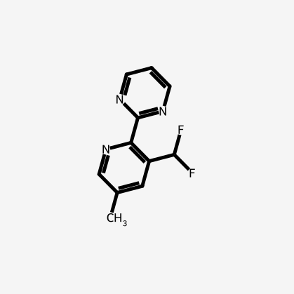 Cc1cnc(-c2ncccn2)c(C(F)F)c1